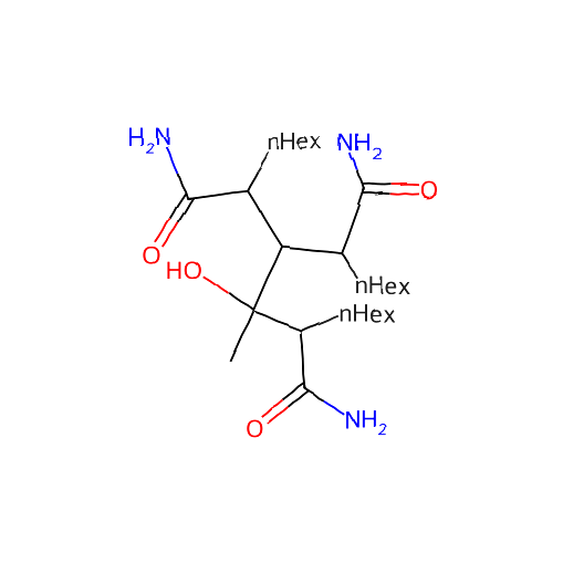 CCCCCCC(C(N)=O)C(C(CCCCCC)C(N)=O)C(C)(O)C(CCCCCC)C(N)=O